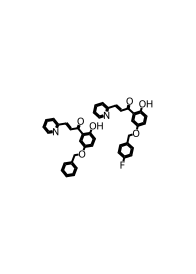 O=C(/C=C/c1ccccn1)c1cc(OCc2ccc(F)cc2)ccc1O.O=C(/C=C/c1ccccn1)c1cc(OCc2ccccc2)ccc1O